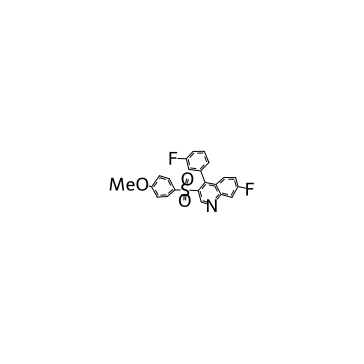 COc1ccc(S(=O)(=O)c2cnc3cc(F)ccc3c2-c2cccc(F)c2)cc1